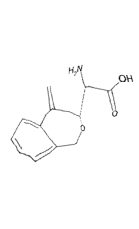 C=C1c2ccccc2COC1C(N)C(=O)O